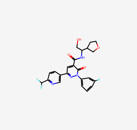 O=C(NC(CO)C1CCOC1)c1cc(-c2ccc(C(F)F)nc2)nn(-c2cccc(F)c2)c1=O